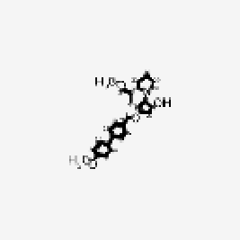 COC=CC[C@H]1C(OCc2ccc(-c3ccc(OC)cc3)cc2)C[C@@H](O)[C@@H]1N1CCCCC1